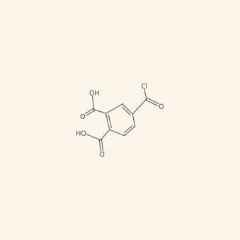 O=C(Cl)c1ccc(C(=O)O)c(C(=O)O)c1